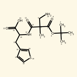 CC(C)(C)OC(=O)C(C)(CN)C(=O)NC(Cc1ccsc1)C(=O)O